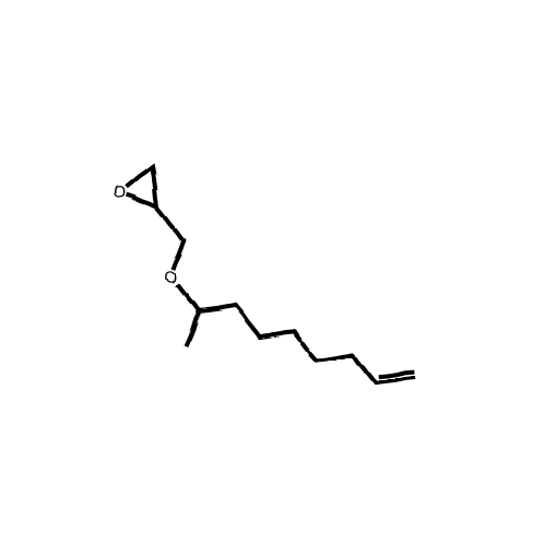 C=CCCCCCC(C)OCC1CO1